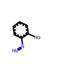 N=Nc1ccccc1N=O